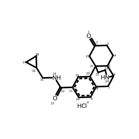 Cl.O=C1CCC2C3Cc4ccc(C(=O)NCC5CC5)cc4C2(CCN3)C1